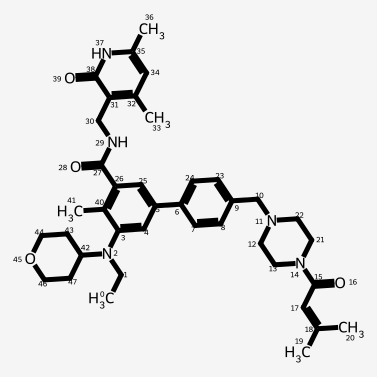 CCN(c1cc(-c2ccc(CN3CCN(C(=O)C=C(C)C)CC3)cc2)cc(C(=O)NCc2c(C)cc(C)[nH]c2=O)c1C)C1CCOCC1